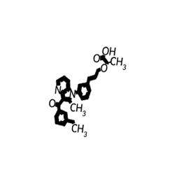 CCc1cccc(C(=O)c2c(C)n(-c3cccc(/C=C/CO[C@@H](C)C(=O)O)c3)c3cccnc23)c1